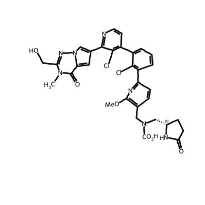 COc1nc(-c2cccc(-c3ccnc(-c4cc5c(=O)n(C)c(CO)nn5c4)c3Cl)c2Cl)ccc1CN(C[C@@H]1CCC(=O)N1)C(=O)O